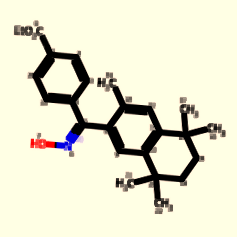 CCOC(=O)c1ccc(/C(=N\O)c2cc3c(cc2C)C(C)(C)CCC3(C)C)cc1